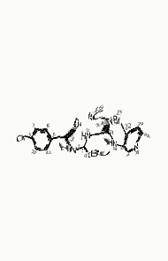 CC(C)(C)C(NC(=O)c1ccc(Cl)cc1)N/C(=N\C#N)Nc1cnccc1Br